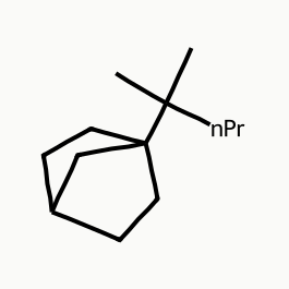 [CH2]CCC(C)(C)C12CCC(CC1)C2